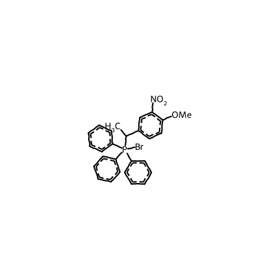 COc1ccc(C(C)P(Br)(c2ccccc2)(c2ccccc2)c2ccccc2)cc1[N+](=O)[O-]